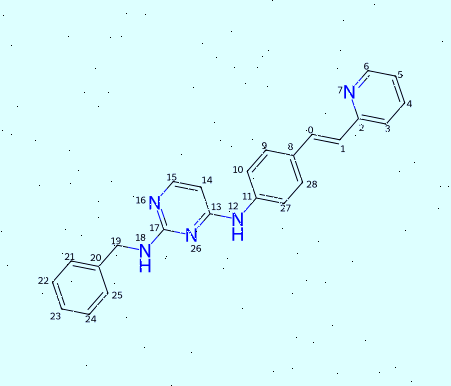 C(=Cc1ccccn1)c1ccc(Nc2ccnc(NCc3ccccc3)n2)cc1